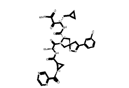 CNC(=O)C(=O)[C@H](CC1CC1)NC(=O)[C@@H]1C[C@]2(CC(c3cccc(Cl)c3)=NO2)CN1C(=O)[C@@H](NC(=O)C1C[C@H]1C(=O)c1cnccn1)C(C)(C)C